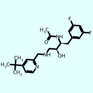 CC(=O)N[C@@H](Cc1cc(F)cc(F)c1)[C@@H](O)CNCc1cc(C(C)(C)C)ccn1